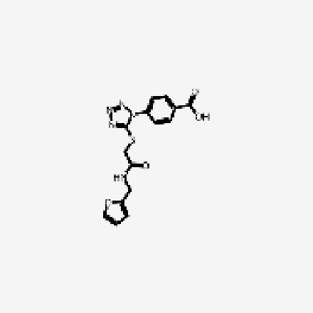 O=C(CSc1nnnn1-c1ccc(C(=O)O)cc1)NCc1ccco1